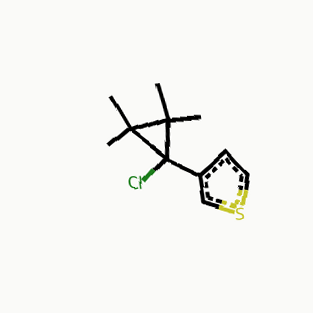 CC1(C)C(C)(C)C1(Cl)c1ccsc1